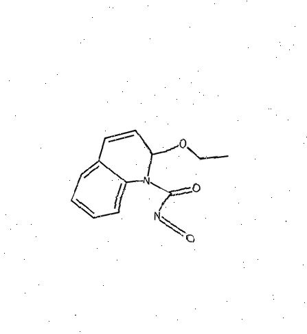 CCOC1C=Cc2ccccc2N1C(=O)N=O